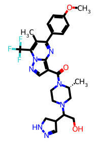 COc1ccc(-c2nc3c(C(=O)N4CCN(C(CO)C5C=NNC5)C[C@H]4C)cnn3c(C(F)(F)F)c2C)cc1